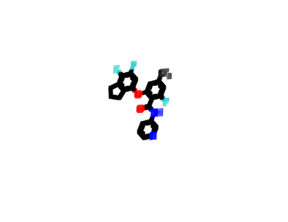 O=C(Nc1cccnc1)c1c(F)cc(C(F)(F)F)cc1Oc1cc(F)c(F)c2c1CCC2